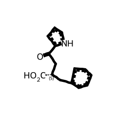 O=C(C[C@H](Cc1ccccc1)C(=O)O)c1ccc[nH]1